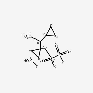 CC(=O)O.CS(=O)(=O)S(=O)(=O)CC1(C(C(=O)O)C2CC2)CC1